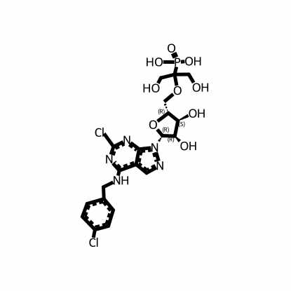 O=P(O)(O)C(CO)(CO)OC[C@H]1O[C@@H](n2ncc3c(NCc4ccc(Cl)cc4)nc(Cl)nc32)[C@H](O)[C@@H]1O